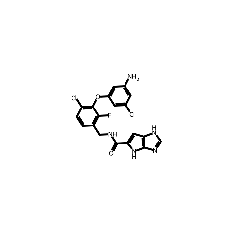 Nc1cc(Cl)cc(Oc2c(Cl)ccc(CNC(=O)c3cc4[nH]cnc4[nH]3)c2F)c1